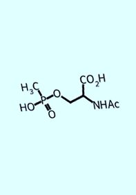 CC(=O)NC(COP(C)(=O)O)C(=O)O